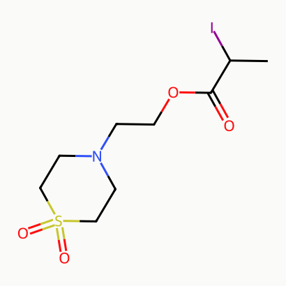 CC(I)C(=O)OCCN1CCS(=O)(=O)CC1